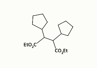 CCOC(=O)C(C1CCCC1)C(C(=O)OCC)C1CCCC1